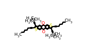 CCCCCCC#Cc1sc2cc3c(cc2c1C#C[Si](C)(C)C)C(=O)c1cc2sc(C#CCCCCCC)c(C#C[Si](C)(C)C)c2cc1C3=O